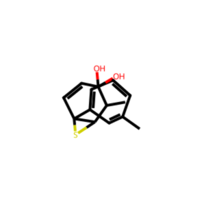 Cc1cccc(C23C=CC(O)(O)C(C)C2S3)c1